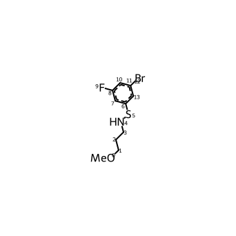 COCCCNSc1cc(F)cc(Br)c1